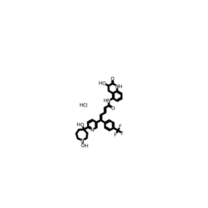 Cl.O=C(/C=C/C=C(\c1ccc(C(F)(F)F)cc1)c1ccc(C2(O)CCCN(O)CC2)nc1)Nc1cccc2c1CC(O)C(=O)N2